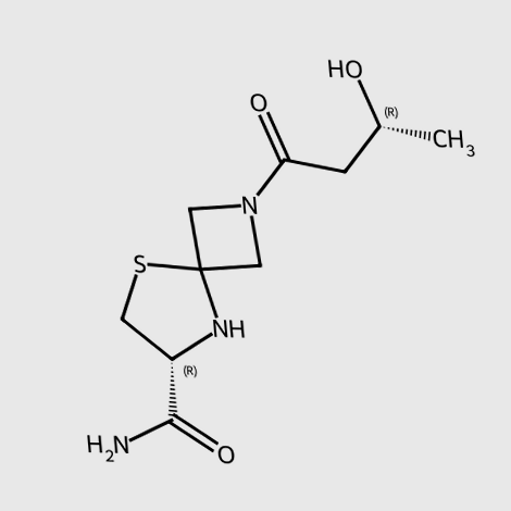 C[C@@H](O)CC(=O)N1CC2(C1)N[C@H](C(N)=O)CS2